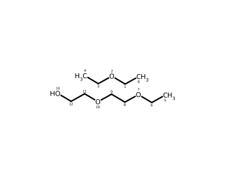 CCOCC.CCOCCOCCO